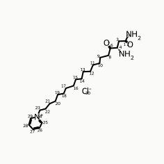 NC(=O)C[C@H](N)C(=O)CCCCCCCCCCCCCCCC[n+]1ccccc1.[Cl-]